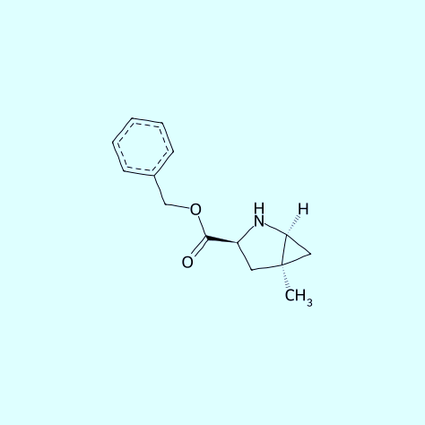 C[C@]12C[C@@H](C(=O)OCc3ccccc3)N[C@H]1C2